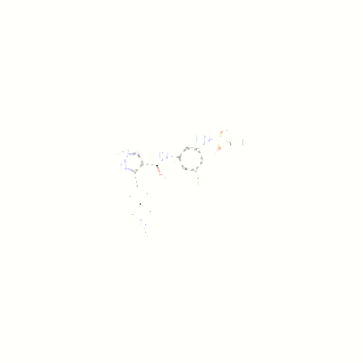 CC(=O)N1CC2(CC(c3n[nH]cc3C(=O)Nc3cc(Cl)cc(NS(C)(=O)=O)c3)C2)C1